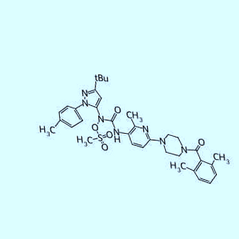 Cc1ccc(-n2nc(C(C)(C)C)cc2N(OS(C)(=O)=O)C(=O)Nc2ccc(N3CCN(C(=O)c4c(C)cccc4C)CC3)nc2C)cc1